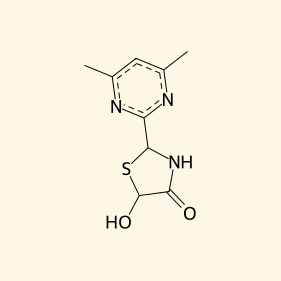 Cc1cc(C)nc(C2NC(=O)C(O)S2)n1